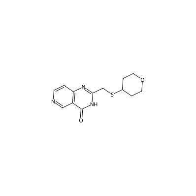 O=c1[nH]c(CSC2CCOCC2)nc2ccncc12